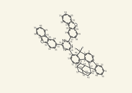 CC1(C)c2ccc3c(c2-c2cccc(-c4nc(-c5ccc6oc7ccccc7c6c5)nc(-c5ccc6oc7ccccc7c6c5)n4)c21)C1(c2ccccc2-3)C2CC3CC(C2)CC1C3